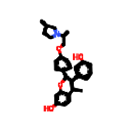 CC1=C(c2cccc(O)c2)C(c2ccc(OCC(C)N3CCC(C)C3)cc2)Oc2cc(O)ccc21